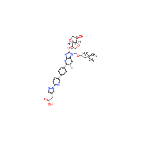 C[Si](C)(C)CCOCn1c(O[C@@H]2CO[C@H]3[C@@H]2OC[C@H]3O)nc2nc(-c3ccc(-c4ccc(-n5cc(CC(=O)O)cn5)nc4)cc3)c(Cl)cc21